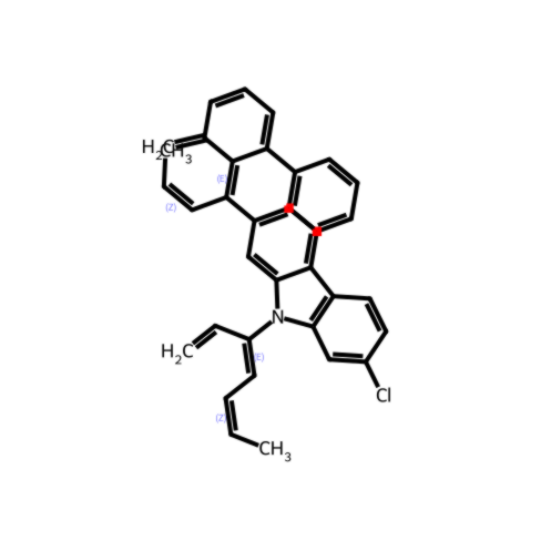 C=C/C(=C\C=C/C)n1c2cc(Cl)ccc2c2ccc(C(/C=C\C)=c3\c(-c4ccccc4)cccc3=C)cc21